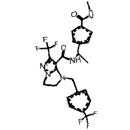 COC(=O)c1ccc(C(C)NC(=O)c2c(C(F)(F)F)nn3c2N(Cc2ccc(C(F)(F)F)cc2)CC3)cc1